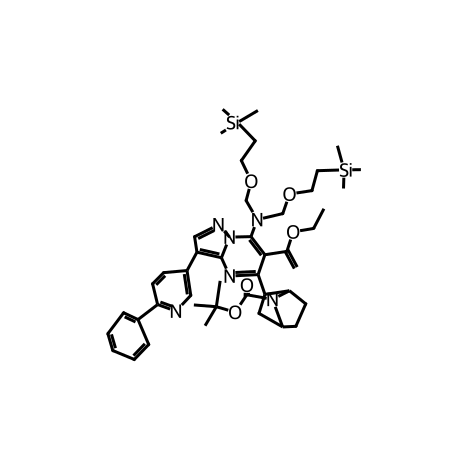 C=C(OCC)c1c(C2CC3CCC2N3C(=O)OC(C)(C)C)nc2c(-c3ccc(-c4ccccc4)nc3)cnn2c1N(COCC[Si](C)(C)C)COCC[Si](C)(C)C